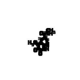 CNC(=O)c1cnc2[nH]c(=O)c(=O)n(C)c2c1